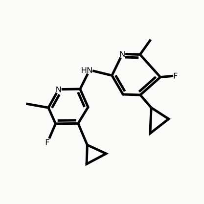 Cc1nc(Nc2cc(C3CC3)c(F)c(C)n2)cc(C2CC2)c1F